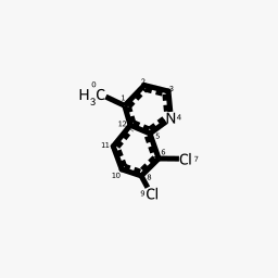 Cc1ccnc2c(Cl)c(Cl)ccc12